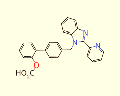 O=C(O)Oc1ccccc1-c1ccc(Cn2c(-c3ccccn3)nc3ccccc32)cc1